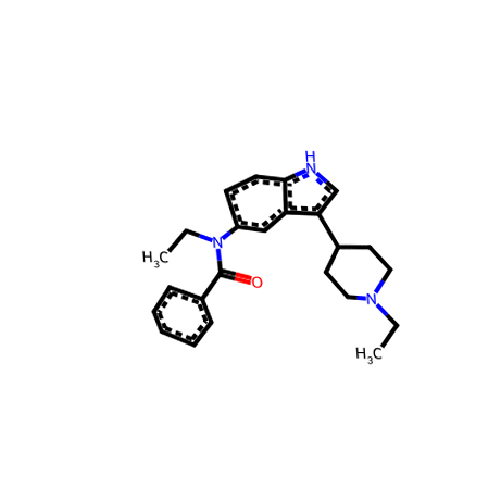 CCN1CCC(c2c[nH]c3ccc(N(CC)C(=O)c4ccccc4)cc23)CC1